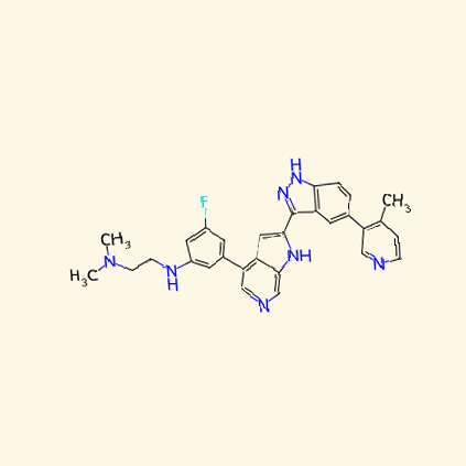 Cc1ccncc1-c1ccc2[nH]nc(-c3cc4c(-c5cc(F)cc(NCCN(C)C)c5)cncc4[nH]3)c2c1